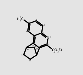 CCOC(=O)c1nc2ccc(C)cc2c2c1C1CCC2C1